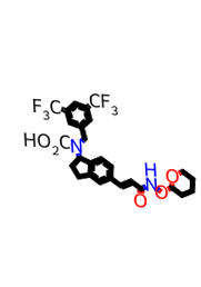 O=C(/C=C/c1ccc2c(c1)CCC2N(Cc1cc(C(F)(F)F)cc(C(F)(F)F)c1)C(=O)O)NOC1CCCCO1